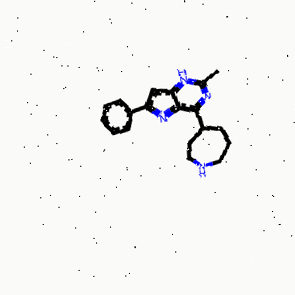 Cc1nc(C2CCCNCC2)c2nc(-c3ccccc3)cc-2[nH]1